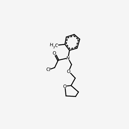 Cc1ccccc1N(COCC1CCCO1)C(=O)CCl